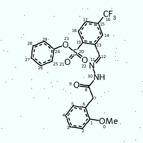 COc1ccccc1CC(=O)NN=Cc1cc(C(F)(F)F)ccc1S(=O)(=O)Oc1ccccc1